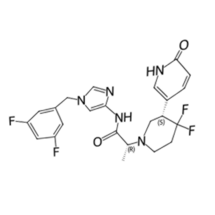 C[C@H](C(=O)Nc1cn(Cc2cc(F)cc(F)c2)cn1)N1CCC(F)(F)[C@@H](c2ccc(=O)[nH]c2)C1